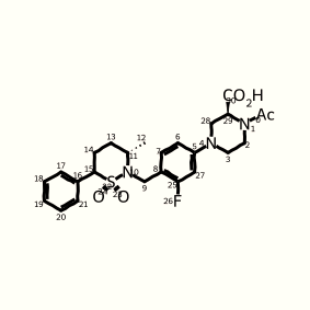 CC(=O)N1CCN(c2ccc(CN3[C@@H](C)CCC(c4ccccc4)S3(=O)=O)c(F)c2)C[C@H]1C(=O)O